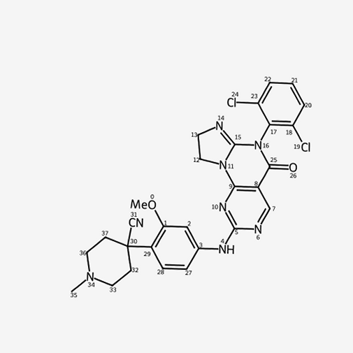 COc1cc(Nc2ncc3c(n2)N2CCN=C2N(c2c(Cl)cccc2Cl)C3=O)ccc1C1(C#N)CCN(C)CC1